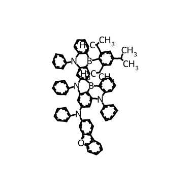 CC(C)c1cc(C(C)C)c(B2c3ccccc3N(c3ccccc3)c3cc4c(cc32)B2c3ccccc3N(c3ccccc3)c3cc(N(c5ccccc5)c5ccc6c(c5)oc5ccccc56)cc(c32)N4c2ccccc2)c(C(C)C)c1